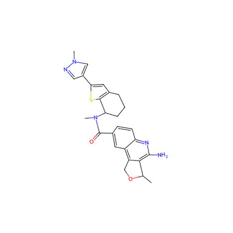 CC1OCc2c1c(N)nc1ccc(C(=O)N(C)C3CCCc4cc(-c5cnn(C)c5)sc43)cc21